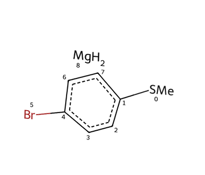 CSc1ccc(Br)cc1.[MgH2]